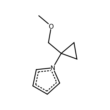 COCC1(n2cccc2)CC1